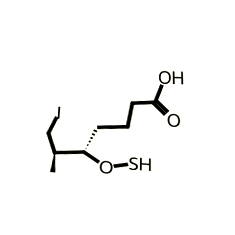 C[C@@H](CI)[C@H](CCCC(=O)O)OS